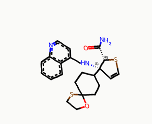 NC(=O)[C@@H]1SC=C[C@@]1(NCc1ccnc2ccccc12)C1CCC2(CC1)OCCS2